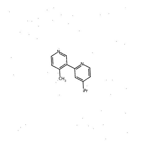 Cc1ccncc1-c1cc(C(C)C)ccn1